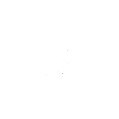 CC1(C)CC[C@]2(C(=S)NCCCN3CCCCC3)CC[C@]3(C)C(=CC[C@@H]4[C@@]5(C)CC[C@H](O)C(C)(C)C5CC[C@]43C)C2C1